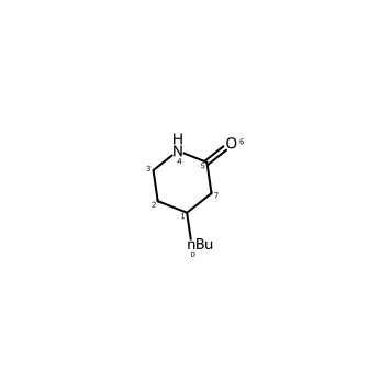 CCCCC1CCNC(=O)C1